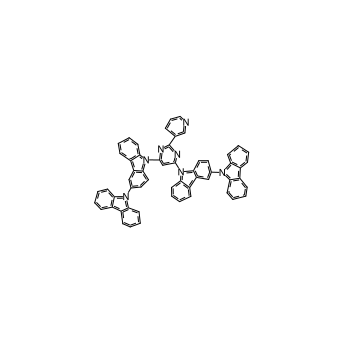 c1cncc(-c2nc(-n3c4ccccc4c4cc(-n5c6ccccc6c6ccccc65)ccc43)cc(-n3c4ccccc4c4cc(-n5c6ccccc6c6ccccc65)ccc43)n2)c1